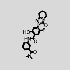 CN(C)C(=O)c1cccc(NC(=O)c2cc(F)c(-n3nc4n(c3=O)CCCC4)cc2O)c1